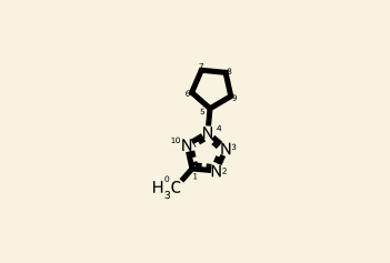 Cc1nnn(C2CCCC2)n1